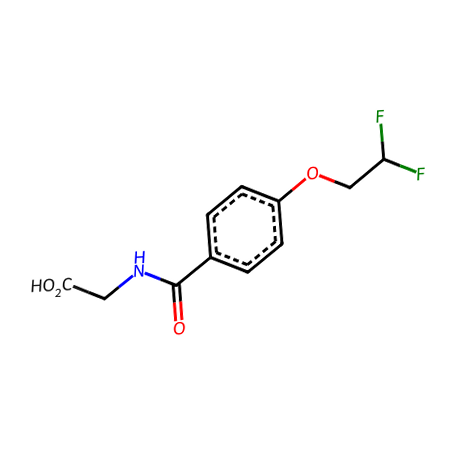 O=C(O)CNC(=O)c1ccc(OCC(F)F)cc1